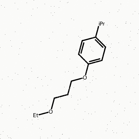 CCOCCCOc1ccc(C(C)C)cc1